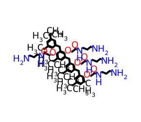 CCc1cc(C(C)(C)C)cc(Cc2cc(C(C)(C)C)cc(Cc3cc(C(C)(C)C)cc(Cc4cc(C(C)(C)C)cc(C)c4OCC(=O)NCCCN)c3OCC(=O)NCCCN)c2OCC(=O)NCCCN)c1OCC(=O)NCCCN